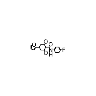 O=C1CC(c2ccco2)CC(=O)C1C(=O)Nc1ccc(F)cc1